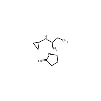 CCC(N)NC1CC1.O=C1CCCN1